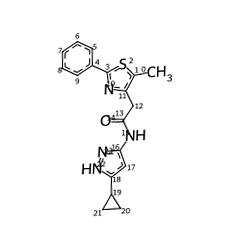 Cc1sc(-c2ccccc2)nc1CC(=O)Nc1cc(C2CC2)[nH]n1